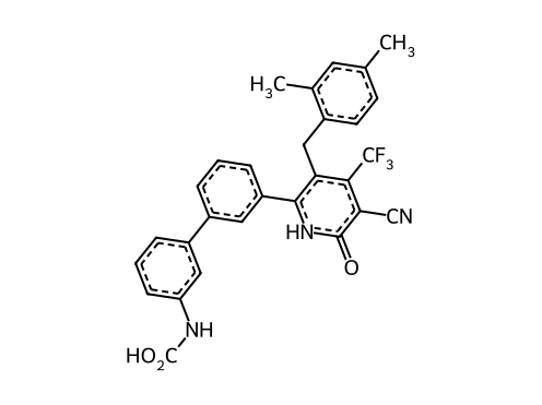 Cc1ccc(Cc2c(-c3cccc(-c4cccc(NC(=O)O)c4)c3)[nH]c(=O)c(C#N)c2C(F)(F)F)c(C)c1